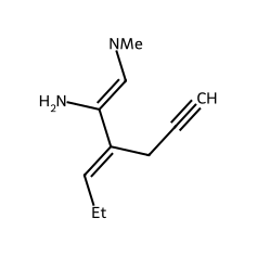 C#CCC(=C\CC)/C(N)=C/NC